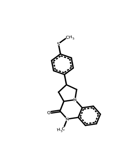 CSc1ccc(C2CC3C(=O)N(C)c4ccccc4N3C2)cc1